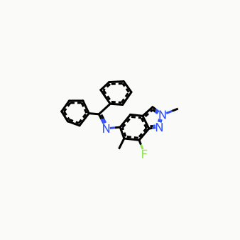 Cc1c(N=C(c2ccccc2)c2ccccc2)cc2cn(C)nc2c1F